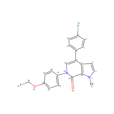 CCn1ccc2c(-c3ccc(F)cc3)cn(-c3ccc(OCF)cc3)c(=O)c21